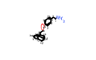 NCCc1ccc(OCCC23CC4CC(CC(C4)C2)C3)cc1